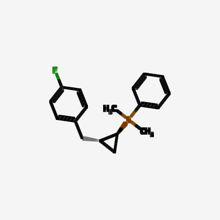 CS(C)(c1ccccc1)[C@H]1C[C@@H]1Cc1ccc(F)cc1